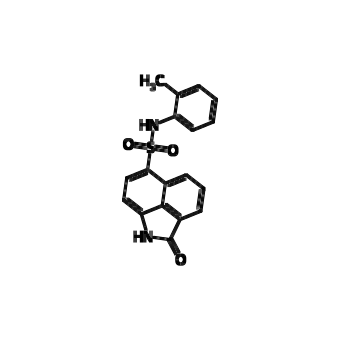 Cc1ccccc1NS(=O)(=O)c1ccc2c3c(cccc13)C(=O)N2